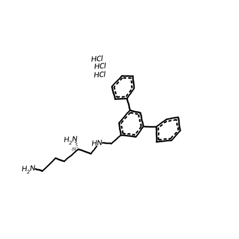 Cl.Cl.Cl.NCCC[C@H](N)CNCc1cc(-c2ccccc2)cc(-c2ccccc2)c1